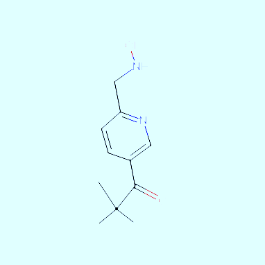 CC(C)(C)C(=O)c1ccc(CNO)nc1